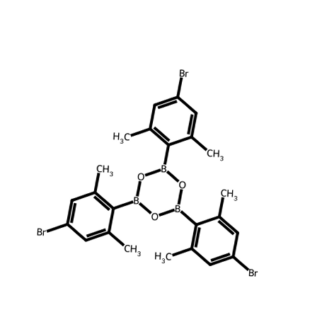 Cc1cc(Br)cc(C)c1B1OB(c2c(C)cc(Br)cc2C)OB(c2c(C)cc(Br)cc2C)O1